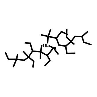 CCC(C)CC(C)(CC)C(CC)CC(CC)C(C)(C)BC(C)(C)C(CC)C(C)(C)C(CC)C(C)(CC)CC(C)(C)CC